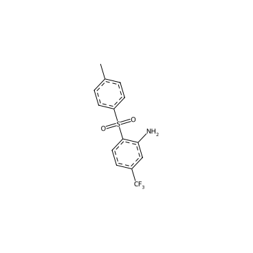 Cc1ccc(S(=O)(=O)c2ccc(C(F)(F)F)cc2N)cc1